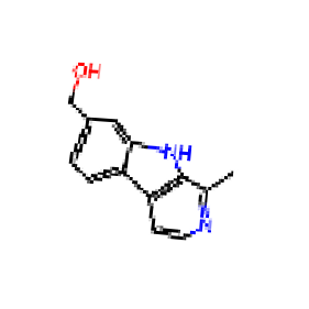 Cc1nccc2c1[nH]c1cc(CO)ccc12